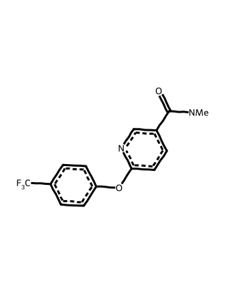 CNC(=O)c1ccc(Oc2ccc(C(F)(F)F)cc2)nc1